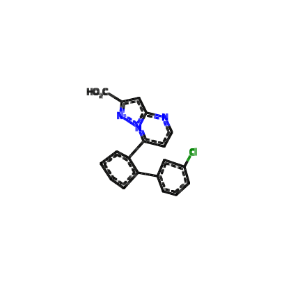 O=C(O)c1cc2nccc(-c3ccccc3-c3cccc(Cl)c3)n2n1